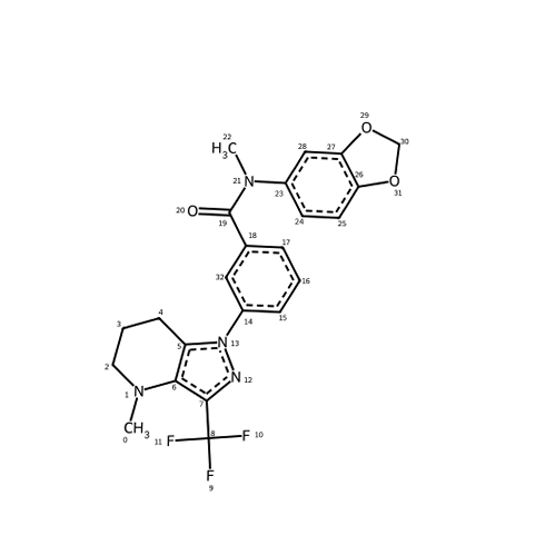 CN1CCCc2c1c(C(F)(F)F)nn2-c1cccc(C(=O)N(C)c2ccc3c(c2)OCO3)c1